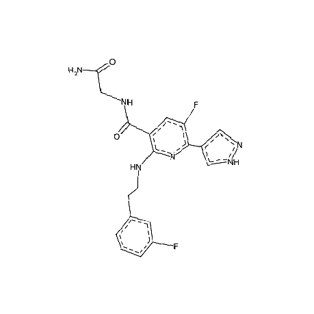 NC(=O)CNC(=O)c1cc(F)c(-c2cn[nH]c2)nc1NCCc1cccc(F)c1